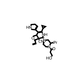 C=CC(=O)C1(C#N)C(C)C(C2=CCCNC2)=C(C2CC2)N[C@@H]1N1CCN(C(=O)CCO)C(C(C)C)C1